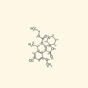 CCOC(=O)OC1=C(c2c(CC)cc(Cl)cc2OC)C(=O)OC12CCCCC2